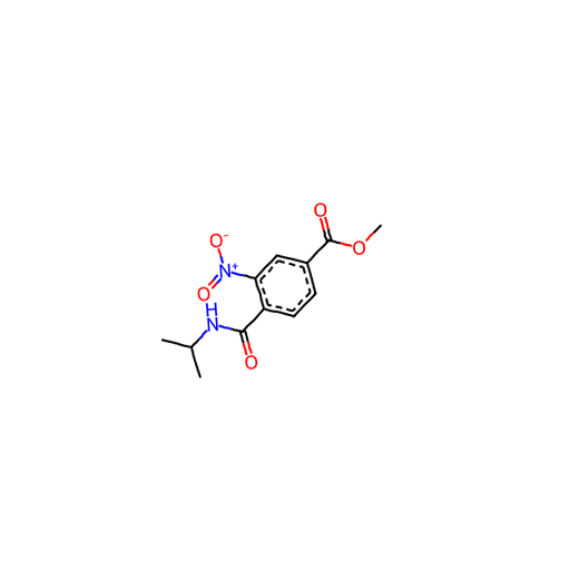 COC(=O)c1ccc(C(=O)NC(C)C)c([N+](=O)[O-])c1